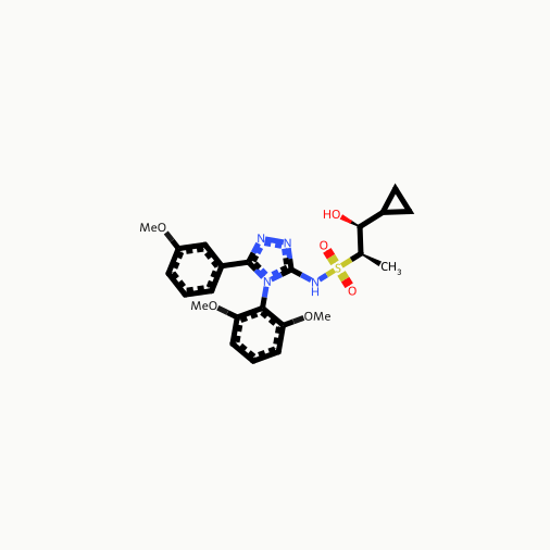 COc1cccc(-c2nnc(NS(=O)(=O)[C@H](C)[C@@H](O)C3CC3)n2-c2c(OC)cccc2OC)c1